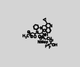 CN[C@@H](C)C(=O)N[C@@H]1C(=O)N(Cc2c(C3CC3)cnc3ccccc23)c2ccccc2N(C(=O)CS(C)(=O)=O)[C@H]1C.O=C(O)C(F)(F)F